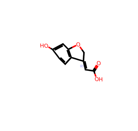 O=C(O)/C=C1\COc2cc(O)ccc21